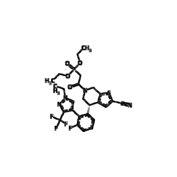 CCOP(=O)(CC(=O)N1Cc2sc(C#N)cc2[C@H](c2cccc(F)c2-c2cn(CC)nc2C(F)(F)F)C1)OCC